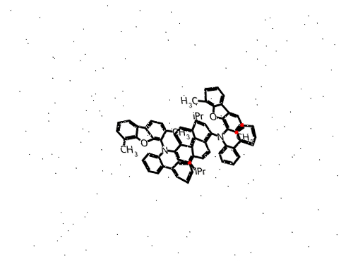 Cc1ccc2c(oc3c(C)cccc32)c1N(c1ccccc1-c1ccccc1)c1cc(C(C)C)c2ccc3c(N(c4ccccc4-c4ccccc4)c4c(C)ccc5c4oc4c(C)cccc45)cc(C(C)C)c4ccc1c2c43